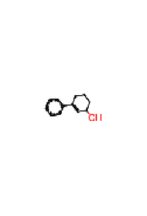 OC1C=C(c2ccccc2)CCC1